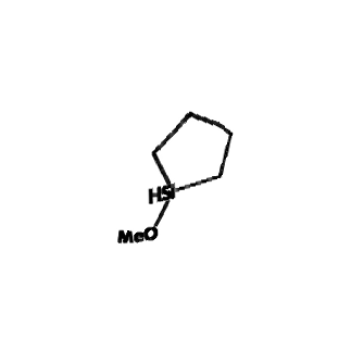 CO[SiH]1CCCC1